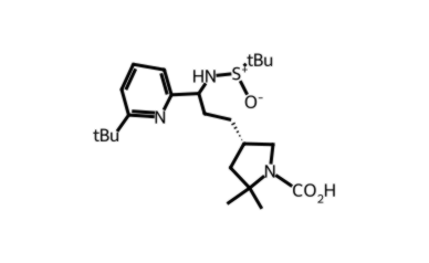 CC(C)(C)c1cccc(C(CC[C@@H]2CN(C(=O)O)C(C)(C)C2)N[S+]([O-])C(C)(C)C)n1